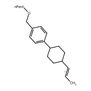 C/C=C/C1CCC(c2ccc(COCCCCC)cc2)CC1